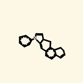 C1=Cc2ccc3c(c2CC1)CC1C=CN(c2ccccc2)C1=C3